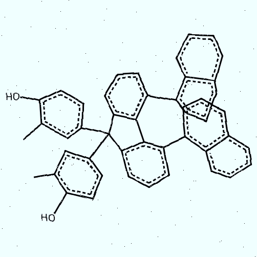 Cc1cc(C2(c3ccc(O)c(C)c3)c3cccc(-c4cccc5ccccc45)c3-c3c(-c4cccc5ccccc45)cccc32)ccc1O